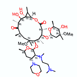 CO[C@]1(C)C[C@H](O[C@H]2[C@H](C)[C@@H](O[C@@H]3O[C@H](C)C[C@@H](N4CCOCC4)[C@@H]3N(C)CCN(C)C)[C@@](C)(OC)C[C@@H](C)C(=O)[C@H](C)[C@@H](O)[C@@]3(O)C(C)[C@H]3OC(=O)[C@@H]2C)O[C@@H](C)[C@@H]1O